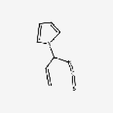 C=CC(N=C=S)n1cccc1